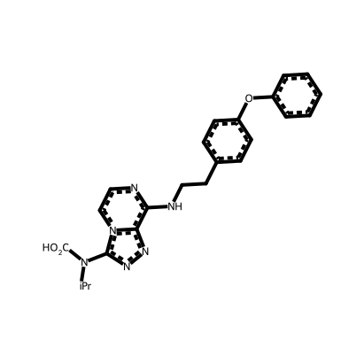 CC(C)N(C(=O)O)c1nnc2c(NCCc3ccc(Oc4ccccc4)cc3)nccn12